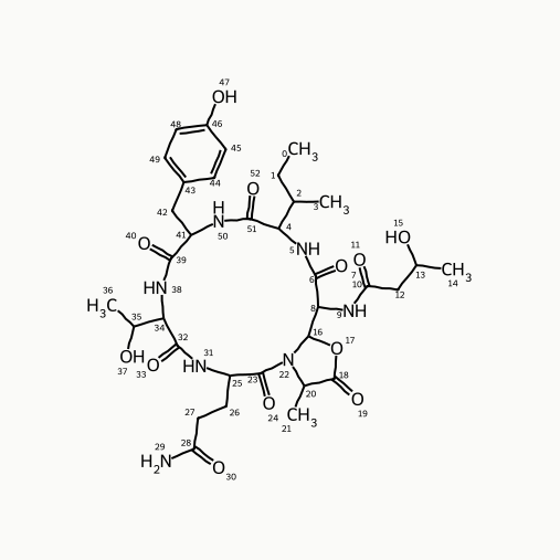 CCC(C)C1NC(=O)C(NC(=O)CC(C)O)C2OC(=O)C(C)N2C(=O)C(CCC(N)=O)NC(=O)C(C(C)O)NC(=O)C(Cc2ccc(O)cc2)NC1=O